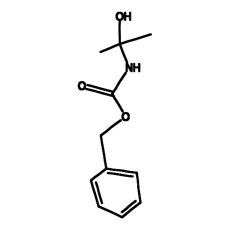 CC(C)(O)NC(=O)OCc1ccccc1